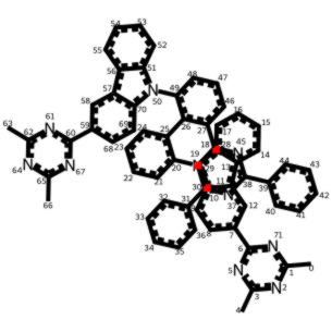 Cc1nc(C)nc(-c2ccc3c(c2)c2ccccc2n3-c2ccccc2-c2c(-c3cc(-c4ccccc4)nc(-c4ccccc4)n3)cccc2-n2c3ccccc3c3cc(-c4nc(C)nc(C)n4)ccc32)n1